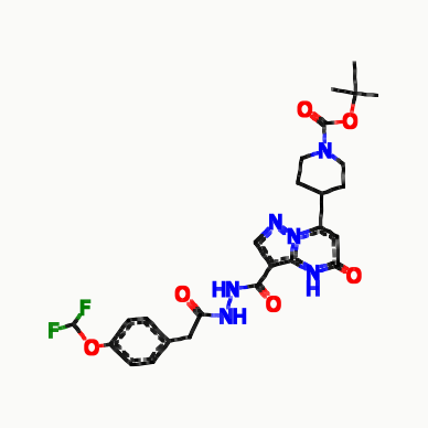 CC(C)(C)OC(=O)N1CCC(c2cc(=O)[nH]c3c(C(=O)NNC(=O)Cc4ccc(OC(F)F)cc4)cnn23)CC1